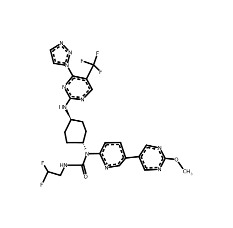 COc1ncc(-c2ccc(N(C(=O)NCC(F)F)[C@H]3CC[C@H](Nc4ncc(C(F)(F)F)c(-n5ccnn5)n4)CC3)nc2)cn1